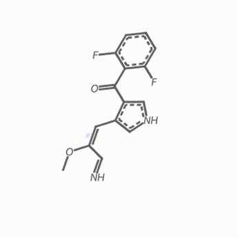 CO/C(C=N)=C/c1c[nH]cc1C(=O)c1c(F)cccc1F